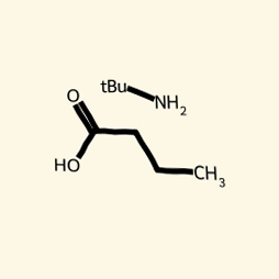 CC(C)(C)N.CCCC(=O)O